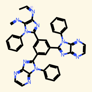 C=Nc1c(/N=C\C)nc(-c2cc(-c3nc4nccnc4n3-c3ccccc3)cc(-c3nc4nccnc4n3-c3ccccc3)c2)n1-c1ccccc1